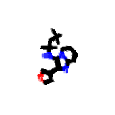 CC(C)(C)CC(C)(C)Nc1c(-c2ccoc2)nc2ccccn12